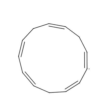 [C]1=CCC=CCC=CC=CCC=C1